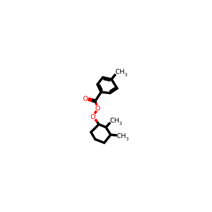 Cc1ccc(C(=O)OO[C]2CCCC(C)C2C)cc1